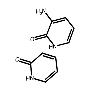 Nc1ccc[nH]c1=O.O=c1cccc[nH]1